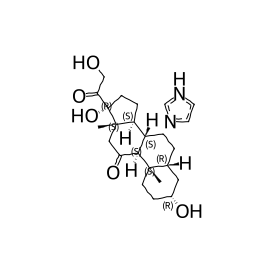 C[C@]12CC[C@@H](O)C[C@H]1CC[C@@H]1[C@@H]2C(=O)C[C@@]2(C)[C@H]1CC[C@]2(O)C(=O)CO.c1c[nH]cn1